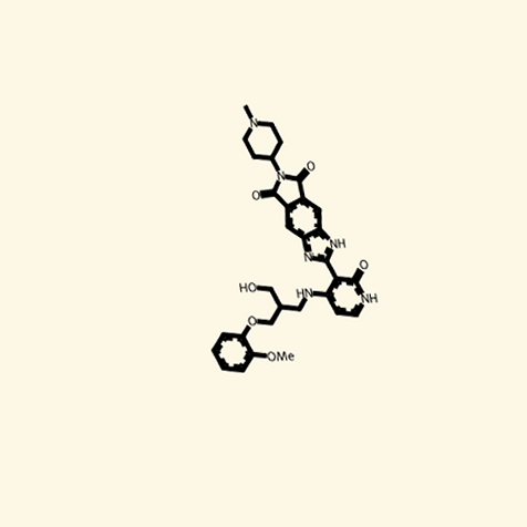 COc1ccccc1OCC(CO)CNc1cc[nH]c(=O)c1-c1nc2cc3c(cc2[nH]1)C(=O)N(C1CCN(C)CC1)C3=O